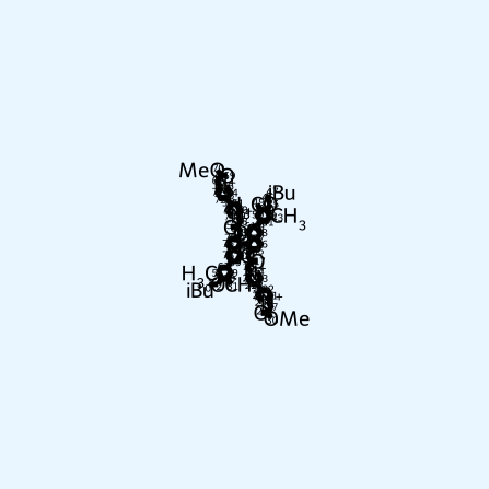 CCC(C)COc1c(C)cc(-c2ccc3c(-c4c(OC(=O)C[n+]5ccc(-c6cc[n+](CC(=O)OC)cc6)cc5)ccc5cc(-c6cc(C)c(OCC(C)CC)c(C)c6)ccc45)c(OC(=O)C[n+]4ccc(-c5cc[n+](CC(=O)OC)cc5)cc4)ccc3c2)cc1C